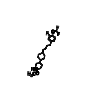 CO[SiH]1CCC(C2CCC(CCCCc3ccc(OC(F)F)c(F)c3)CC2)CC1